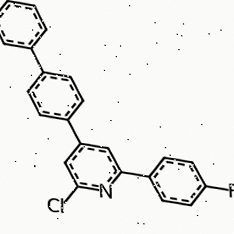 Fc1ccc(-c2cc(-c3ccc(-c4ccccc4)cc3)cc(Cl)n2)cc1